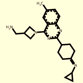 Cc1ccc2nc(C3CCC(=NC4CC4)CC3)nc(N3CC(CN)C3)c2c1